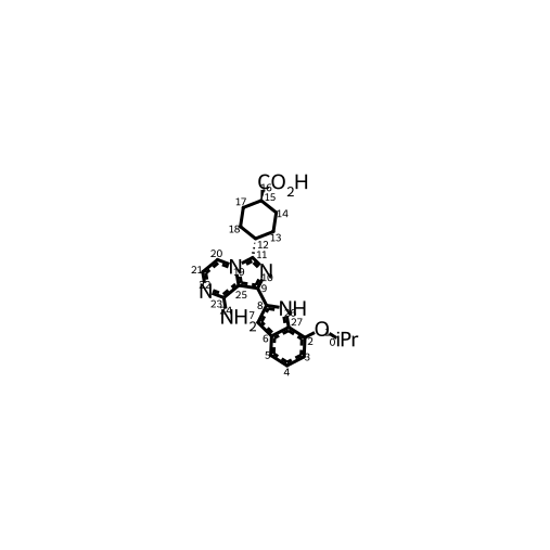 CC(C)Oc1cccc2cc(-c3nc([C@H]4CC[C@H](C(=O)O)CC4)n4ccnc(N)c34)[nH]c12